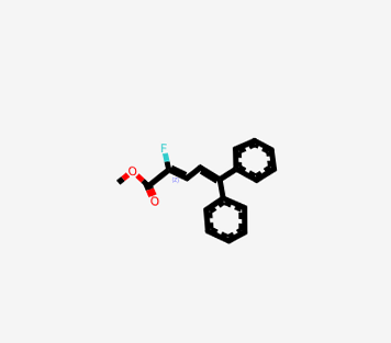 COC(=O)/C(F)=C/C=C(c1ccccc1)c1ccccc1